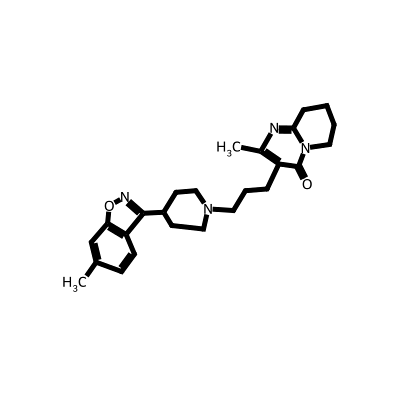 Cc1ccc2c(C3CCN(CCCc4c(C)nc5n(c4=O)CCCC5)CC3)noc2c1